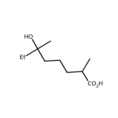 CCC(C)(O)CCCC(C)C(=O)O